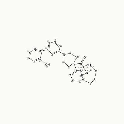 O=C(N1CC2CCCC1CNC2)C1(c2ccccc2)CCN(c2cnnc(-c3ccccc3O)c2)CC1